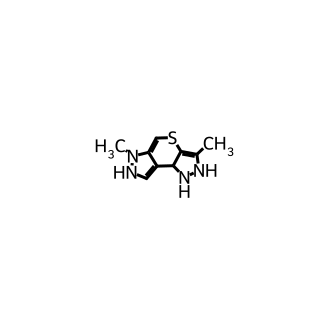 CC1=C2SC=C3C(=CNN3C)C2NN1